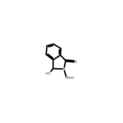 CCCCCN1C(=O)c2ccccc2C1O